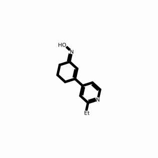 CCc1cc(C2=C/C(=N/O)CCC2)ccn1